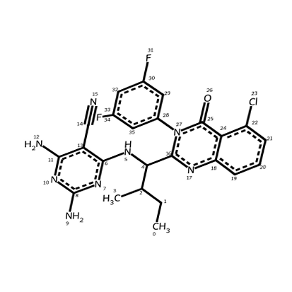 CCC(C)C(Nc1nc(N)nc(N)c1C#N)c1nc2cccc(Cl)c2c(=O)n1-c1cc(F)cc(F)c1